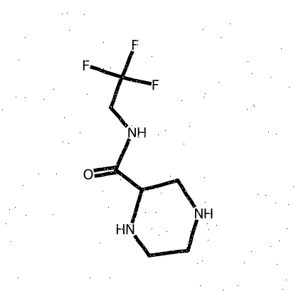 O=C(NCC(F)(F)F)C1CNCCN1